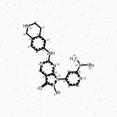 CC(C)n1c(=O)c2cnc(Nc3ccc4c(c3)CCNC4)nc2n1-c1ccnc(N(C)C(C)(C)C)c1